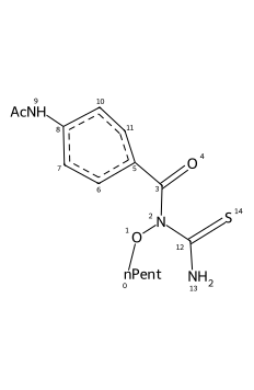 CCCCCON(C(=O)c1ccc(NC(C)=O)cc1)C(N)=S